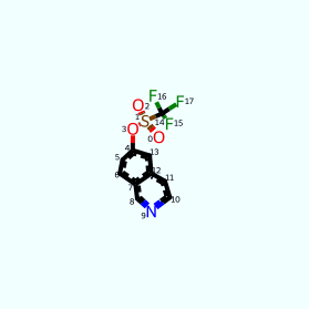 O=S(=O)(Oc1ccc2cnccc2c1)C(F)(F)F